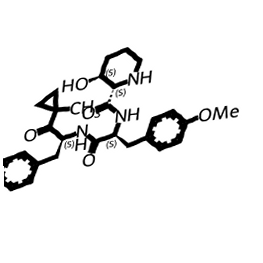 COc1ccc(C[C@H](NC(=O)[C@H]2NCCC[C@@H]2O)C(=O)N[C@@H](Cc2ccccc2)C(=O)C2(C)CC2)cc1